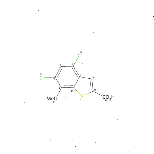 COc1c(Cl)cc(Cl)c2cc(C(=O)O)sc12